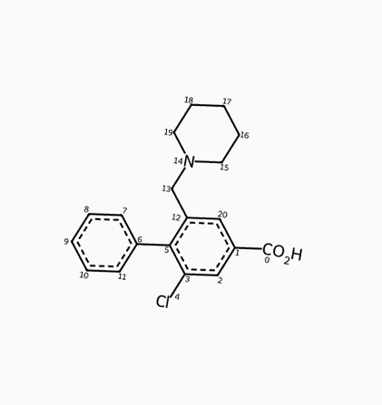 O=C(O)c1cc(Cl)c(-c2ccccc2)c(CN2CCCCC2)c1